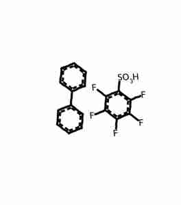 O=S(=O)(O)c1c(F)c(F)c(F)c(F)c1F.c1ccc(-c2ccccc2)cc1